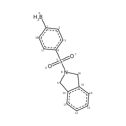 Bc1ccc(S(=O)(=O)N2Cc3ccccc3C2)cc1